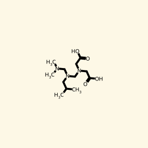 CC(C)CN(CN(C)C)CN(CC(=O)O)CC(=O)O